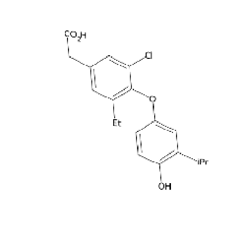 CCc1cc(CC(=O)O)cc(Cl)c1Oc1ccc(O)c(C(C)C)c1